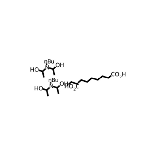 CCCCN(C(C)O)C(C)O.CCCCN(C(C)O)C(C)O.O=C(O)CCCCCCCCC(=O)O